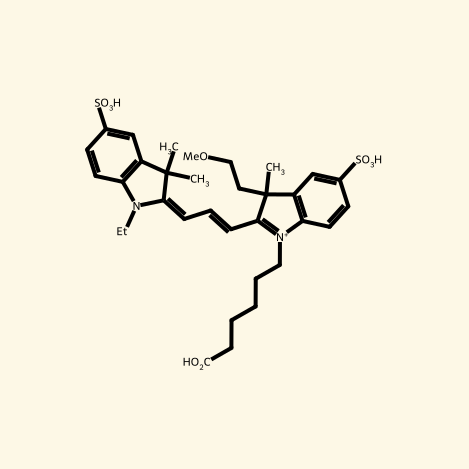 CCN1/C(=C/C=C/C2=[N+](CCCCCC(=O)O)c3ccc(S(=O)(=O)O)cc3C2(C)CCOC)C(C)(C)c2cc(S(=O)(=O)O)ccc21